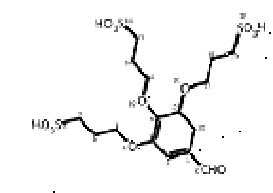 O=CC1=CC(OCCCS(=O)(=O)O)=C(OCCCS(=O)(=O)O)C(OCCCS(=O)(=O)O)C1